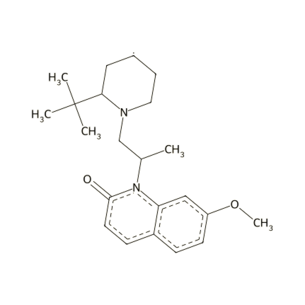 COc1ccc2ccc(=O)n(C(C)CN3CC[CH]CC3C(C)(C)C)c2c1